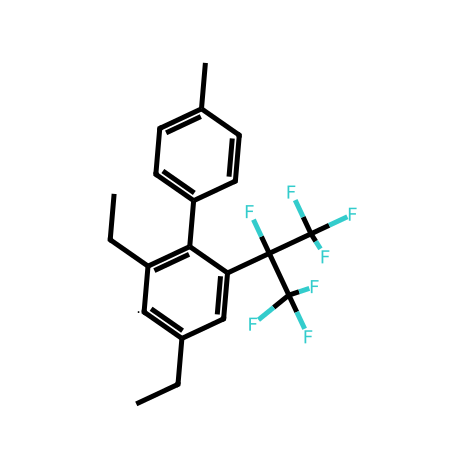 CCc1[c]c(CC)c(-c2ccc(C)cc2)c(C(F)(C(F)(F)F)C(F)(F)F)c1